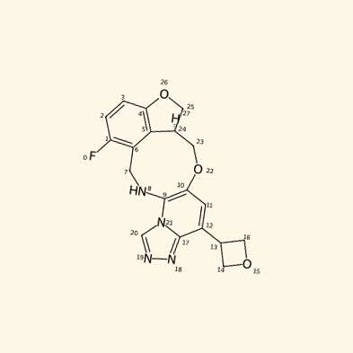 Fc1ccc2c3c1CNc1c(cc(C4COC4)c4nncn14)OC[C@@H]3CO2